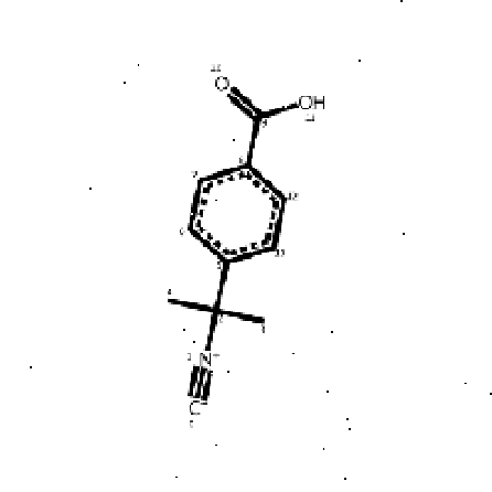 [C-]#[N+]C(C)(C)c1ccc(C(=O)O)cc1